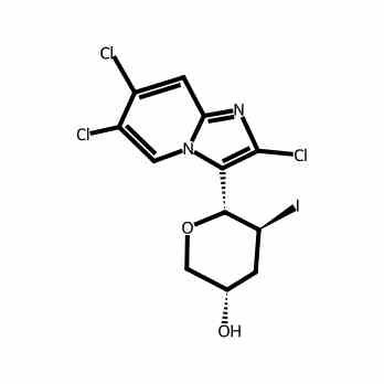 O[C@@H]1CO[C@H](c2c(Cl)nc3cc(Cl)c(Cl)cn23)[C@@H](I)C1